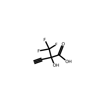 C#CC(O)(C(=O)O)C(F)(F)F